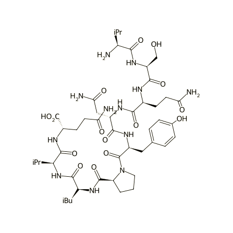 CC[C@H](C)[C@H](NC(=O)[C@@H]1CCCN1C(=O)[C@H](Cc1ccc(O)cc1)NC(=O)[C@H](CC(N)=O)NC(=O)[C@H](CCC(N)=O)NC(=O)[C@H](CO)NC(=O)[C@@H](N)C(C)C)C(=O)N[C@H](C(=O)N[C@@H](CCC(N)=O)C(=O)O)C(C)C